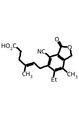 CCc1c(C)c2c(c(C#N)c1C/C=C(\C)CCC(=O)O)C(=O)OC2